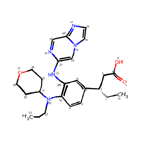 CC[C@@H](CC(=O)O)c1ccc(N(CC)C2CCOCC2)c(Nc2cn3ccnc3cn2)c1